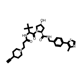 C#CC1CCN(CCC(=O)NC(C(=O)N2C[C@H](O)C[C@H]2C(=O)NCc2ccc(-c3scnc3C)cc2)C(C)(C)C)CC1